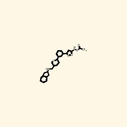 O=C(ONc1cc(-c2cccc(-c3ccc(CNC4Cc5ccccc5C4)cc3)c2)no1)C(F)(F)F